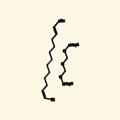 CC/C=C\CCCCCCCC/C=C/CCCC.CCCCCCCOCOCOCCCCCCC